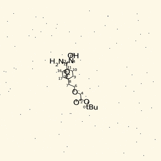 CC(C)(C)OC(=O)COCCC12CCC(/C(N)=N/O)(CC1)OC2